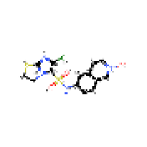 O=S(=O)(Nc1ccc2c[n+]([O-])ccc2c1)c1c(Cl)nc2n1CCS2